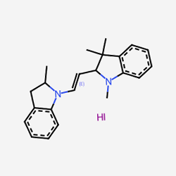 CC1Cc2ccccc2N1/C=C/C1N(C)c2ccccc2C1(C)C.I